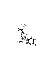 CC(C)(C)OC(=O)N1C[C@H](CO)[C@H](c2ccc(F)cc2)C1